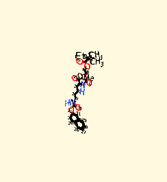 CCC(C)(C)C(=O)OCCOC(=O)NC(CCCCNC(=O)Oc1ccc2ccccc2c1)C(=O)OC